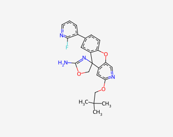 CC(C)(C)COc1cc2c(cn1)Oc1ccc(-c3cccnc3F)cc1C21COC(N)=N1